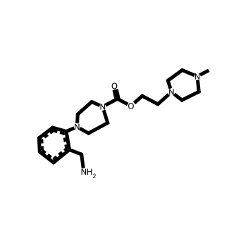 CN1CCN(CCOC(=O)N2CCN(c3ccccc3CN)CC2)CC1